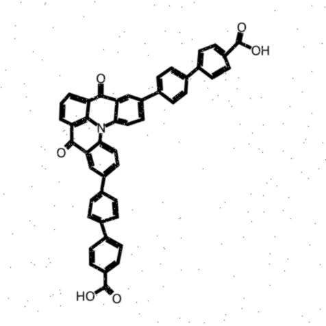 O=C(O)c1ccc(-c2ccc(-c3ccc4c(c3)c(=O)c3cccc5c(=O)c6cc(-c7ccc(-c8ccc(C(=O)O)cc8)cc7)ccc6n4c35)cc2)cc1